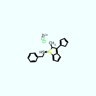 CC1C(C2=CC=CC2)=C2C=CC=C2S1=[SiH]Cc1ccccc1.[Cl-].[Cl-].[Zr+2]